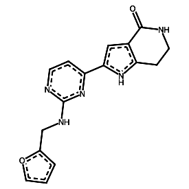 O=C1NCCc2[nH]c(-c3ccnc(NCc4ccco4)n3)cc21